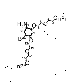 CCCOCCOCCOc1cc(OCCOCCOCCC)c(Br)cc1N